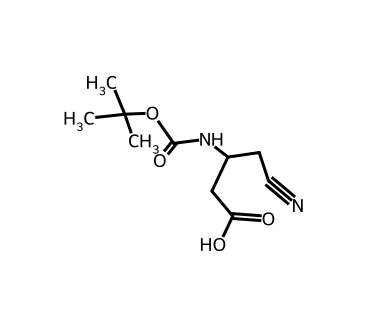 CC(C)(C)OC(=O)NC(CC#N)CC(=O)O